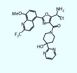 CC[C@H](N)c1oc(-c2ccc(OC)c3nc(C(F)(F)F)ccc23)nc1C(=O)N1CCC(O)(c2ncccn2)CC1